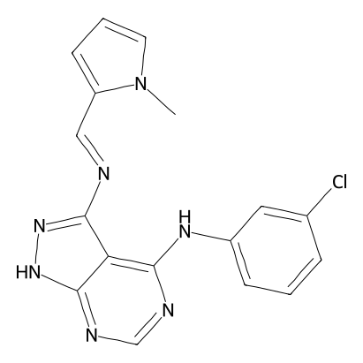 Cn1cccc1C=Nc1n[nH]c2ncnc(Nc3cccc(Cl)c3)c12